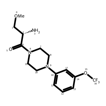 COC[C@H](N)C(=O)N1CCN(c2cccc(OC(F)(F)F)c2)CC1